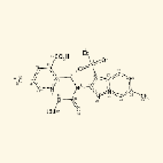 CCS(=O)(=O)c1c(N(Cc2ncc(C(F)(F)F)cc2C(=O)O)C(=O)OC(C)(C)C)nn2cc(C(F)(F)F)ccc12